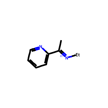 CC/N=C(\C)c1ccccn1